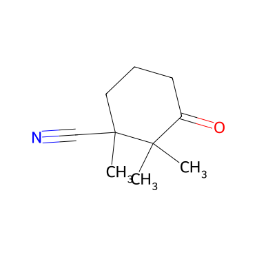 CC1(C#N)CCCC(=O)C1(C)C